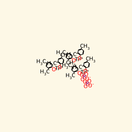 Cc1ccc([O][Ti+2][O]c2ccc(C)cc2C)c(C)c1.Cc1ccc([O][Ti+2][O]c2ccc(C)cc2C)c(C)c1.Cc1ccc([O][Ti+2][O]c2ccc(C)cc2C)c(C)c1.O=P([O-])([O-])[O-].O=P([O-])([O-])[O-]